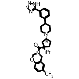 CC(C)[C@]1(C(=O)N2COc3ccc(C(F)(F)F)cc3C2)CC[C@@H](N2CCC(c3cccc(-c4nnn[nH]4)c3)CC2)C1